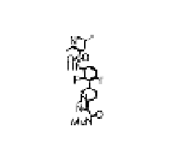 CNC(=O)c1ncn2c1CCC(c1c(F)ccc(NS(=O)(=O)c3cc(F)cnc3C)c1F)C2